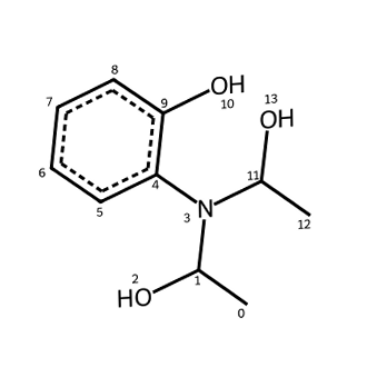 CC(O)N(c1ccccc1O)C(C)O